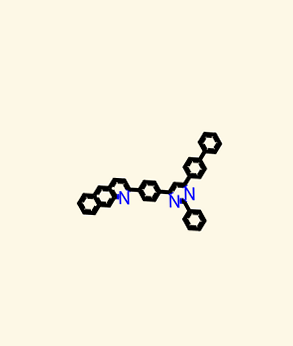 c1ccc(-c2ccc(-c3cc(-c4ccc(-c5ccc6cc7ccccc7cc6n5)cc4)nc(-c4ccccc4)n3)cc2)cc1